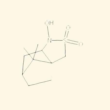 CC1(C)C2CC[C@]13CS(=O)(=O)N(O)[C@]3(C)C2